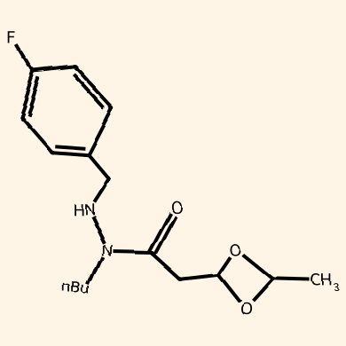 CCCCN(NCc1ccc(F)cc1)C(=O)CC1OC(C)O1